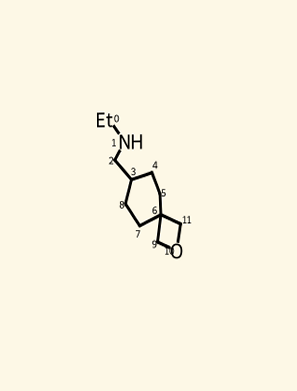 CCNCC1CCC2(CC1)COC2